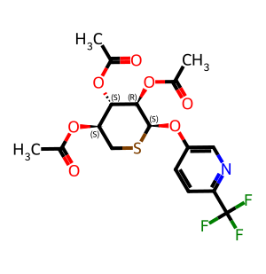 CC(=O)O[C@@H]1[C@@H](OC(C)=O)[C@@H](Oc2ccc(C(F)(F)F)nc2)SC[C@H]1OC(C)=O